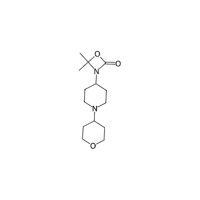 CC1(C)OC(=O)N1C1CCN(C2CCOCC2)CC1